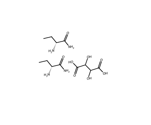 CC[C@@H](N)C(N)=O.CC[C@@H](N)C(N)=O.O=C(O)C(O)C(O)C(=O)O